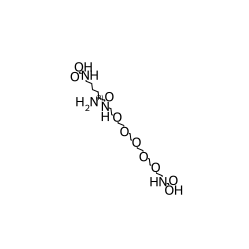 N[C@H](CCCCNC(=O)O)C(=O)NCCOCCOCCOCCOCCOCCNC(=O)O